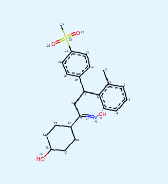 Cc1ccccc1C(C/C(=N\O)C1CCC(O)CC1)c1ccc(S(C)(=O)=O)cc1